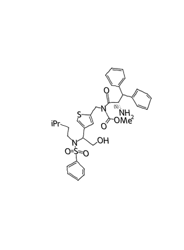 COC(=O)N(Cc1cc(C(CO)N(CCC(C)C)S(=O)(=O)c2ccccc2)cs1)C(=O)[C@@H](N)C(c1ccccc1)c1ccccc1